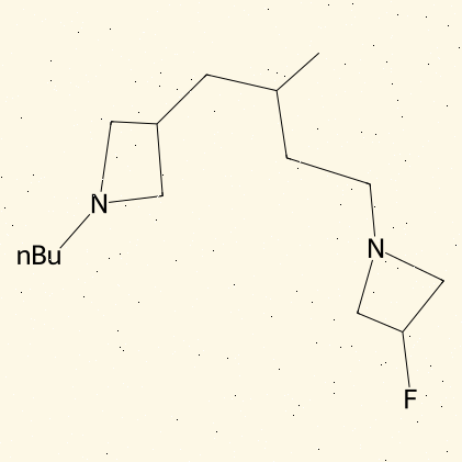 CCCCN1CC(CC(C)CCN2CC(F)C2)C1